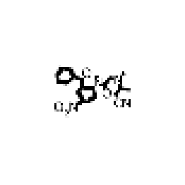 CC(CC#N)N(C)CC(=O)N(C)c1ccc([N+](=O)[O-])cc1C(=O)c1ccccc1